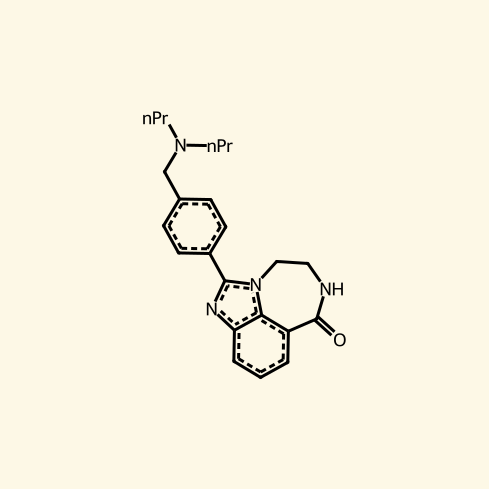 CCCN(CCC)Cc1ccc(-c2nc3cccc4c3n2CCNC4=O)cc1